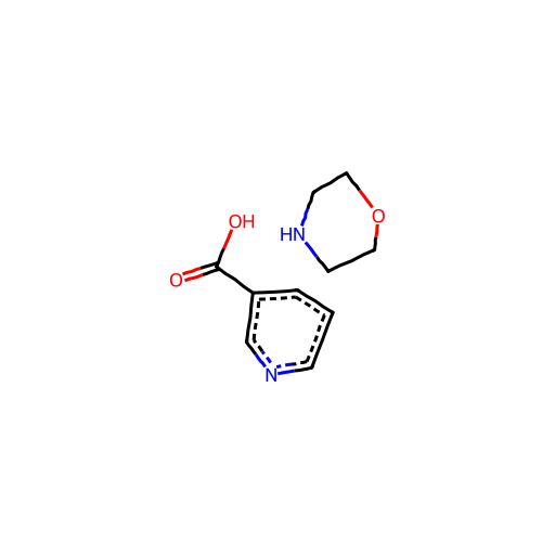 C1COCCN1.O=C(O)c1cccnc1